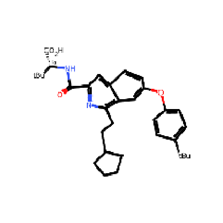 CC(C)(C)c1ccc(Oc2ccc3cc(C(=O)N[C@@H](C(=O)O)C(C)(C)C)nc(CCC4CCCC4)c3c2)cc1